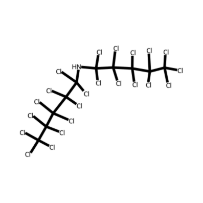 ClC(Cl)(Cl)C(Cl)(Cl)C(Cl)(Cl)C(Cl)(Cl)C(Cl)(Cl)NC(Cl)(Cl)C(Cl)(Cl)C(Cl)(Cl)C(Cl)(Cl)C(Cl)(Cl)Cl